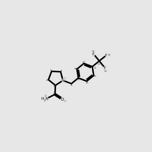 NC(=O)C1[CH]CCN1Cc1ccc(C(F)(F)F)cc1